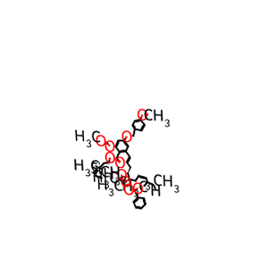 [3H]C(C)C(C)/C=C\C(OC(=O)c1ccccc1)C1OC(C)(C)O[C@H]1C/C=C/c1cc(OCc2ccc(OC)cc2)cc(OCOC)c1C(=O)OCC[Si](C)(C)C